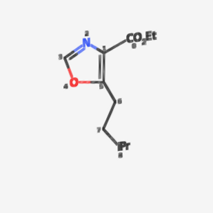 CCOC(=O)c1ncoc1CCC(C)C